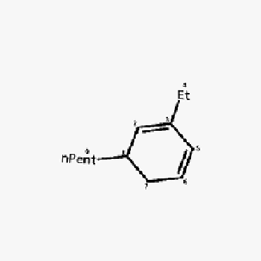 CCC[CH]CC1C=C(CC)C=CC1